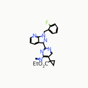 C=Nc1nc(-c2nn(Cc3ccccc3F)c3ncccc23)ncc1C1(C(=O)OCC)CC1